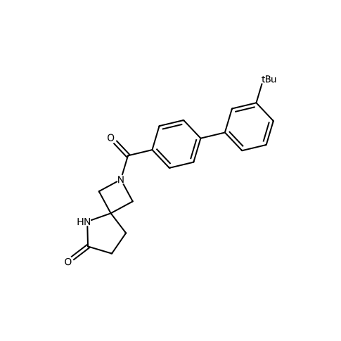 CC(C)(C)c1cccc(-c2ccc(C(=O)N3CC4(CCC(=O)N4)C3)cc2)c1